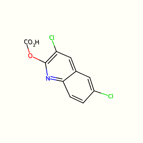 O=C(O)Oc1nc2ccc(Cl)cc2cc1Cl